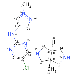 Cn1cc(Nc2ncc(Cl)c(N3C[C@H]4CNC[C@]4(C)C3)n2)cn1